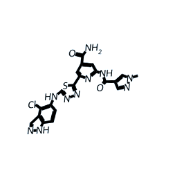 Cn1cc(C(=O)Nc2cc(C(N)=O)cc(-c3nnc(Nc4ccc5[nH]ncc5c4Cl)s3)n2)cn1